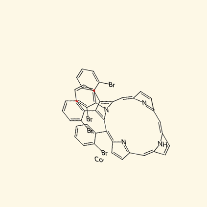 Brc1ccccc1-c1c(-c2ccccc2Br)c2c(-c3ccccc3Br)c3nc(cc4ccc(cc5nc(cc1n2-c1ccccc1Br)C=C5)[nH]4)C=C3.[Co]